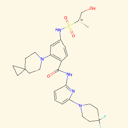 C[C@@H](CO)S(=O)(=O)Nc1ccc(C(=O)Nc2cccc(N3CCC(F)(F)CC3)n2)c(N2CCC3(CC2)CC3)c1